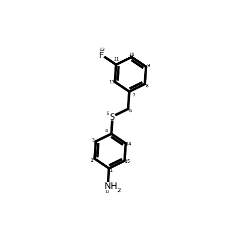 Nc1ccc(SCc2cccc(F)c2)cc1